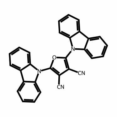 N#Cc1c(-n2c3ccccc3c3ccccc32)oc(-n2c3ccccc3c3ccccc32)c1C#N